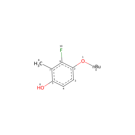 CCCCOc1ccc(O)c(C)c1F